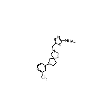 CC(=O)Nc1ncc(CN2CCC3(CCN(c4ccnc(C(F)(F)F)c4)C3)C2)s1